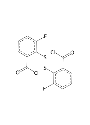 O=C(Cl)c1cccc(F)c1SSc1c(F)cccc1C(=O)Cl